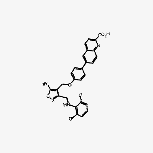 CCCc1onc(CNc2c(Cl)cccc2Cl)c1COc1ccc(-c2ccc3nc(C(=O)O)ccc3c2)cc1